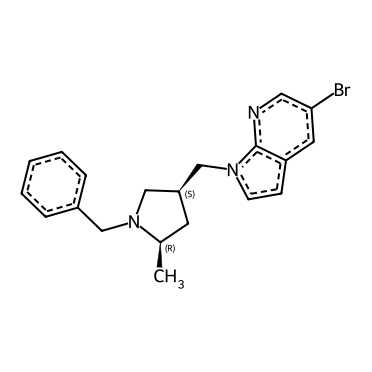 C[C@@H]1C[C@H](Cn2ccc3cc(Br)cnc32)CN1Cc1ccccc1